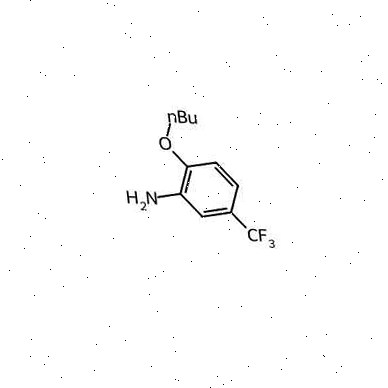 CCCCOc1ccc(C(F)(F)F)cc1N